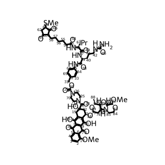 COc1cccc2c1C(=O)c1c(O)c3c(c(O)c1C2=O)C[C@@](O)(C(=O)N1CCN(C(=O)OCc2ccc(NC(=O)[C@H](CCCNC(N)=O)NC(=O)[C@@H](NC(=O)CCCCCC4C(=O)CC(SC)C4=O)C(C)C)cc2)CC1)C[C@@H]3O[C@H]1C[C@H]2[C@H](O[C@@H]3[C@@H](OC)OCCN32)[C@H](C)O1